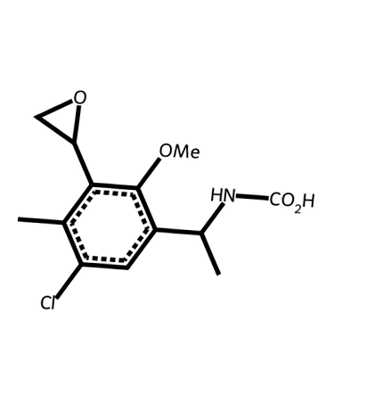 COc1c(C(C)NC(=O)O)cc(Cl)c(C)c1C1CO1